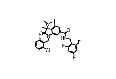 CN(C)C1(C)C(=O)N(Cc2c(F)cccc2Cl)c2cc(C(=O)NCc3c(F)cc(F)cc3F)cc(I)c21